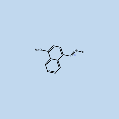 [1H]/N=P/c1ccc(OC)c2ccccc12